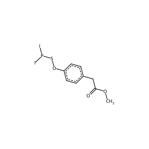 COC(=O)Cc1ccc(OSP(I)I)cc1